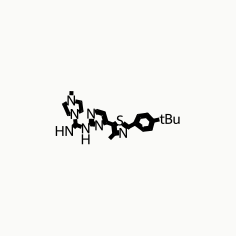 Cc1nc(-c2ccc(C(C)(C)C)cc2)sc1-c1ccnc(NC(=N)N2CCN(C)CC2)n1